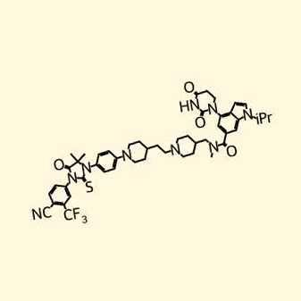 CC(C)n1ccc2c(N3CCC(=O)NC3=O)cc(C(=O)N(C)CC3CCN(CCC4CCN(c5ccc(N6C(=S)N(c7ccc(C#N)c(C(F)(F)F)c7)C(=O)C6(C)C)cc5)CC4)CC3)cc21